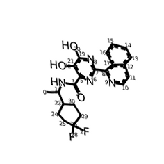 CC(NC(=O)c1nc(-c2nccc3ccccc23)nc(O)c1O)C1CCC(F)(F)CC1